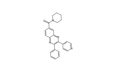 O=C(c1ccc2nc(-c3ccccc3)c(-c3ccncc3)nc2c1)N1CCCCC1